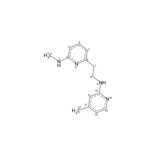 CNc1cccc(CCNc2cc(C)ccn2)n1